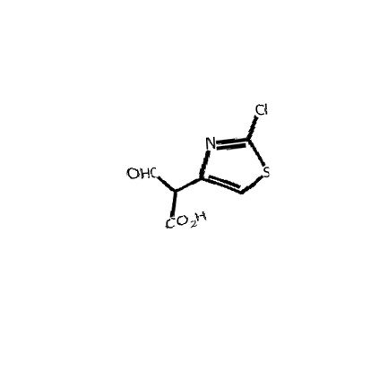 O=CC(C(=O)O)c1csc(Cl)n1